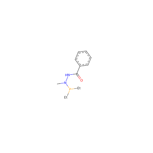 CCP(CC)N(C)NC(=O)c1ccccc1